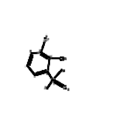 CP(C)(=O)c1cccc(Br)c1Cl